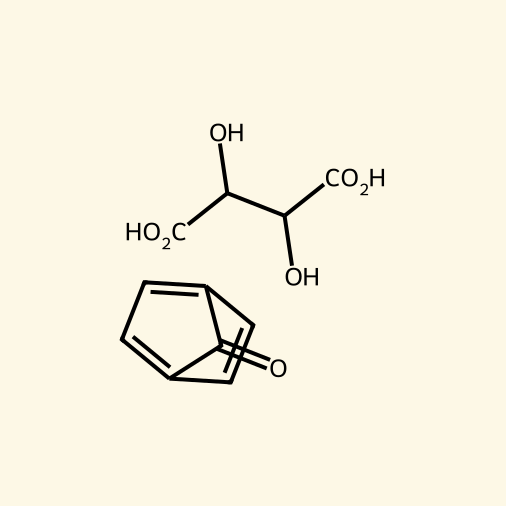 O=C(O)C(O)C(O)C(=O)O.O=C1C2=CC=C1C=C2